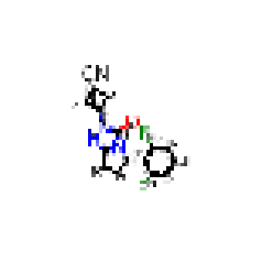 N#CC12CC(n3nc4n(c3=O)[C@H](c3c(F)cccc3F)CC4)(C1)C2